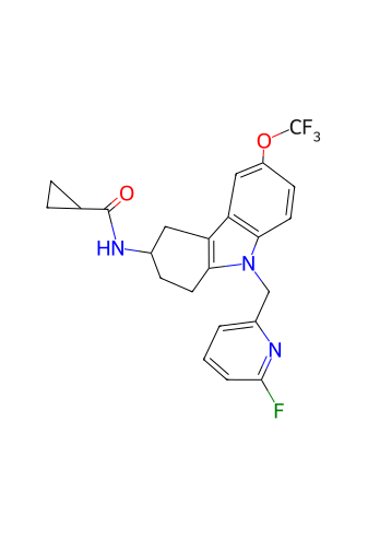 O=C(NC1CCc2c(c3cc(OC(F)(F)F)ccc3n2Cc2cccc(F)n2)C1)C1CC1